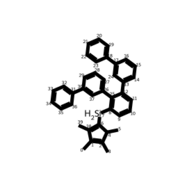 CC1=C(C)C(C)C([SiH2]c2cccc(-c3cccc(-c4ccccc4)c3)c2-c2cccc(-c3ccccc3)c2)=C1C